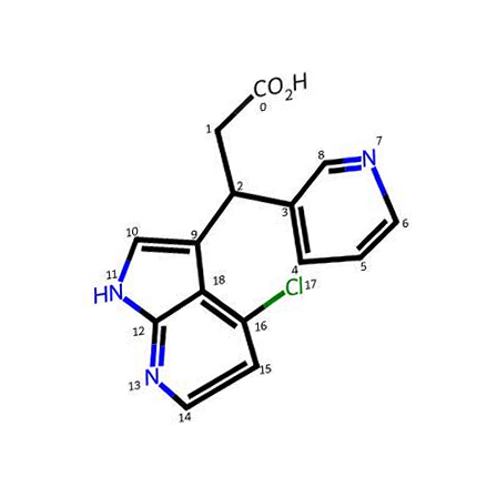 O=C(O)CC(c1cccnc1)c1c[nH]c2nccc(Cl)c12